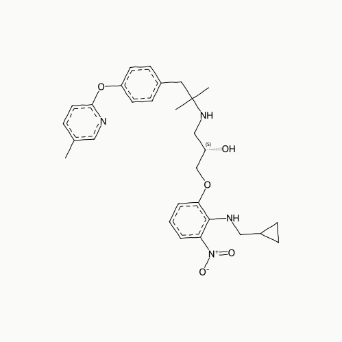 Cc1ccc(Oc2ccc(CC(C)(C)NC[C@H](O)COc3cccc([N+](=O)[O-])c3NCC3CC3)cc2)nc1